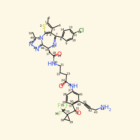 Cc1sc2c(c1C)C(c1ccc(Cl)cc1)=N[C@@H](CC(=O)NCCCC(=O)Nc1ccc(C(=O)C3(C(F)(F)F)CC3)c(C#CCN)c1)c1nnc(C)n1-2